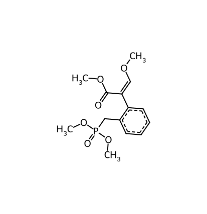 COC=C(C(=O)OC)c1ccccc1CP(=O)(OC)OC